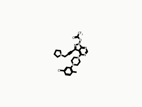 Cc1ccc(Cl)cc1N1CCN(c2ncnc3c2c(C#CCN2CCCC2)nn3OC(=O)C(F)(F)F)CC1